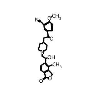 COc1ccc(C(=O)CC2CCN(CC(O)c3ccc4c(c3C)COC4=O)CC2)cc1C#N